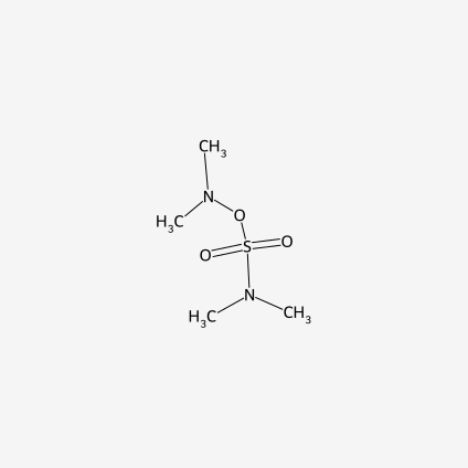 CN(C)OS(=O)(=O)N(C)C